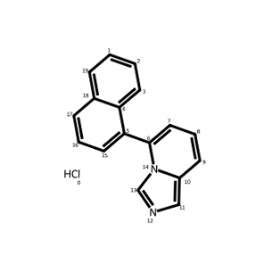 Cl.c1ccc2c(-c3cccc4cncn34)cccc2c1